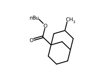 CCCCOC(=O)C12CCCC(CC(C)C1)C2